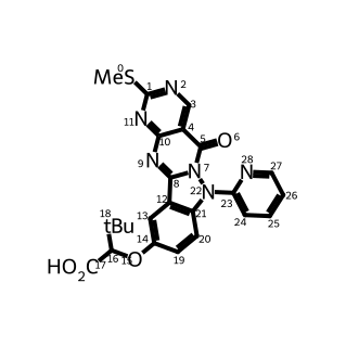 CSc1ncc2c(=O)n3c(nc2n1)c1cc(OC(C(=O)O)C(C)(C)C)ccc1n3-c1ccccn1